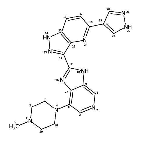 CN1CCN(c2cncc3[nH]c(-c4n[nH]c5ccc(-c6cn[nH]c6)nc45)nc23)CC1